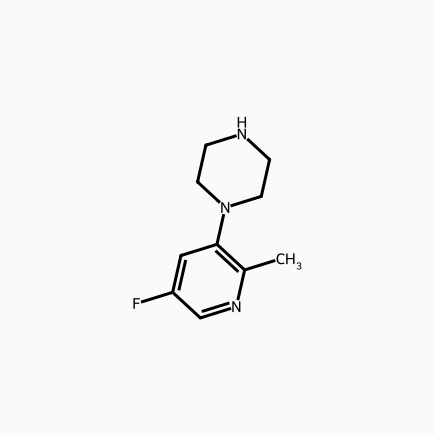 Cc1ncc(F)cc1N1CCNCC1